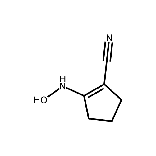 N#CC1=C(NO)CCC1